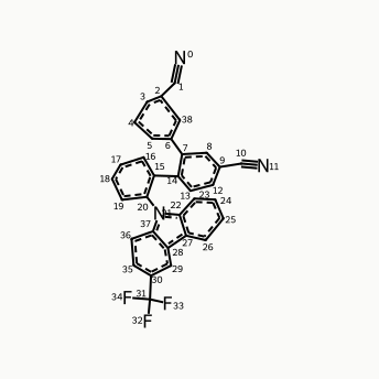 N#Cc1cccc(-c2cc(C#N)ccc2-c2ccccc2-n2c3ccccc3c3cc(C(F)(F)F)ccc32)c1